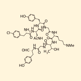 CNCCCC[C@H](NC(=O)CNC(=O)[C@H](Cc1ccc(O)cc1)NC(=O)[C@@H](CNC(C)=O)NC(=O)[C@@H](N)Cc1ccc(Cl)cc1)C(=O)NC(C(=O)NCC(=O)N[C@@H](C=O)Cc1ccc(O)cc1)C(C)O